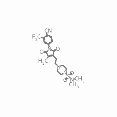 CC1=C(CCN2CCN(S(=O)(=O)N(C)C)CC2)C(=O)N(c2ccc(C#N)c(C(F)(F)F)c2)C1=O